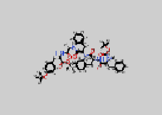 C[C@@H](C(=O)N[C@@H](Cc1ccc(O[Si](C)(C)C)cc1)C(=O)O[Si](C)(C)C)N1C(=O)[C@@H](N2C(=O)[C@@H](NC(=O)[C@H](Cc3ccccc3)N(C)C(=O)OC(C)(C)C)Cc3ccccc32)Cc2ccccc21